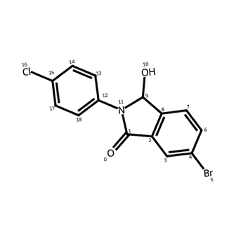 O=C1c2cc(Br)ccc2C(O)N1c1ccc(Cl)cc1